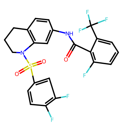 O=C(Nc1ccc2c(c1)N(S(=O)(=O)c1ccc(F)c(F)c1)CCC2)c1c(F)cccc1C(F)(F)F